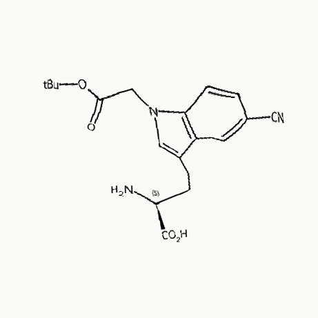 CC(C)(C)OC(=O)Cn1cc(C[C@H](N)C(=O)O)c2cc(C#N)ccc21